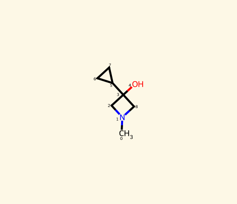 CN1CC(O)(C2CC2)C1